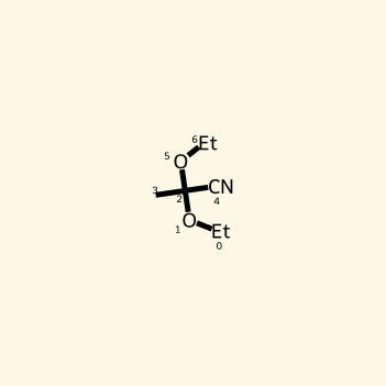 CCOC(C)(C#N)OCC